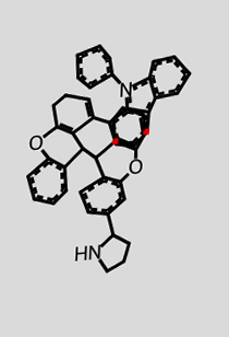 C1=CC2=C(CC1)C(C1C3=C(CCC=C3c3cccc4c5ccccc5n(-c5ccccc5)c34)Oc3ccccc31)c1ccc(C3CCCN3)cc1O2